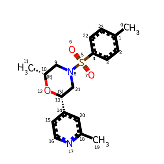 Cc1ccc(S(=O)(=O)N2C[C@@H](C)O[C@@H](c3ccnc(C)c3)C2)cc1